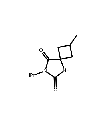 CC1CC2(C1)NC(=O)N(C(C)C)C2=O